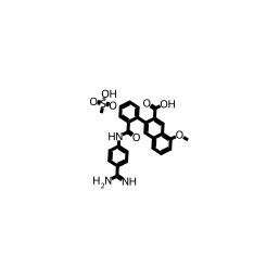 COc1cccc2cc(-c3ccccc3C(=O)Nc3ccc(C(=N)N)cc3)c(C(=O)O)cc12.CS(=O)(=O)O